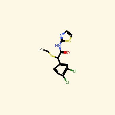 CC(C)CSC(C(=O)Nc1nccs1)c1ccc(Cl)c(Cl)c1